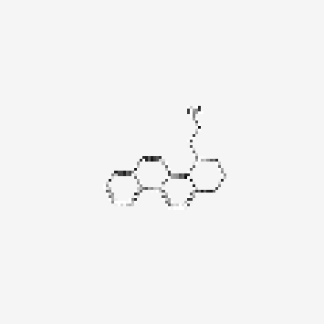 OCCC1CCCc2ccc3c(ccc4ccccc43)c21